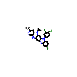 Cc1ccc(Nc2cc3nc4cc(F)ccc4n(-c4ccc(Cl)c(Cl)c4)c-3cc2=NC2CC2)cn1